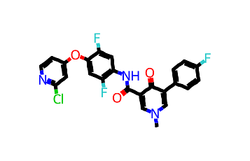 Cn1cc(C(=O)Nc2cc(F)c(Oc3ccnc(Cl)c3)cc2F)c(=O)c(-c2ccc(F)cc2)c1